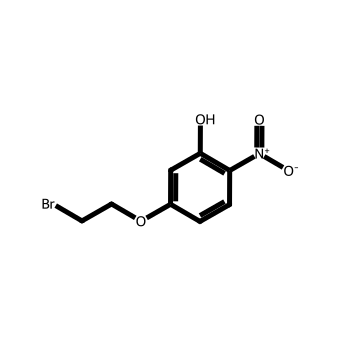 O=[N+]([O-])c1ccc(OCCBr)cc1O